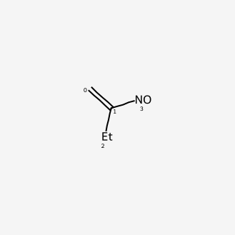 C=C(CC)N=O